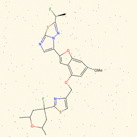 COc1cc(OCc2csc(C3(F)CC(C)OC(C)C3)n2)c2cc(-c3cnc4sc([C@H](C)F)nn34)oc2c1